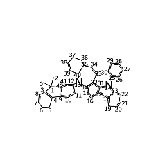 CC1(C)C2=C(CCC=C2)c2ccc(N3c4ccc5c6ccccc6n(-c6ccccc6)c5c4C=CC4CCC=CC43)cc21